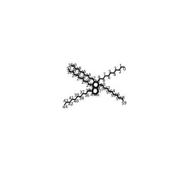 CCCCCCCCCCc1c(CCCCCCCCCC)c(CCCCCCCCCC)c2c(CCCCCCCCCC)cccc2c1CCCCCCCCCC